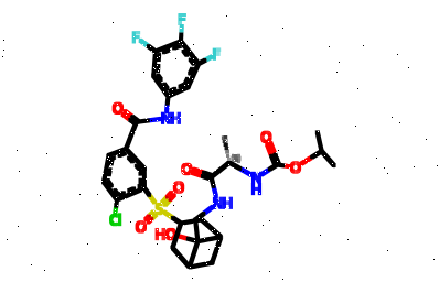 CC(C)OC(=O)N[C@@H](C)C(=O)NCC1(O)C2CC1CC(S(=O)(=O)c1cc(C(=O)Nc3cc(F)c(F)c(F)c3)ccc1Cl)C2